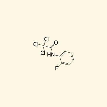 O=C(Nc1ccccc1F)C(Cl)(Cl)Cl